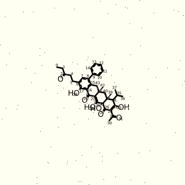 CCC(=O)CCc1cc(-c2ccccc2)c2c(c1O)C(=O)C1=C(O)[C@@]3(O)C(=O)C(C(C)=O)=C(O)C(C(C)C)[C@@]3(C)C[C@@]1(C)C2